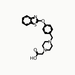 O=C(O)CN1CCN(Cc2ccc(Oc3nc4ccccc4s3)cc2)CC1